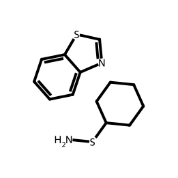 NSC1CCCCC1.c1ccc2scnc2c1